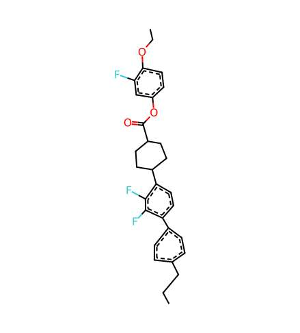 CCCc1ccc(-c2ccc(C3CCC(C(=O)Oc4ccc(OCC)c(F)c4)CC3)c(F)c2F)cc1